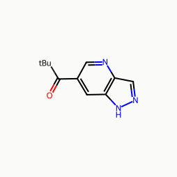 CC(C)(C)C(=O)c1cnc2cn[nH]c2c1